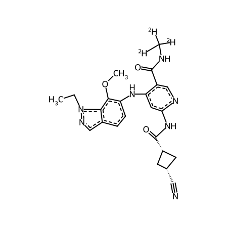 [2H]C([2H])([2H])NC(=O)c1cnc(NC(=O)[C@H]2C[C@@H](C#N)C2)cc1Nc1ccc2cnn(CC)c2c1OC